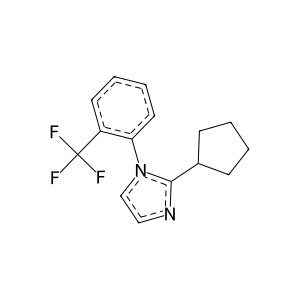 FC(F)(F)c1ccccc1-n1ccnc1C1CCCC1